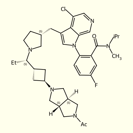 CC[C@@H]([C@H]1C[C@H](N2C[C@H]3CN(C(C)=O)C[C@@H]3C2)C1)N1CC[C@H](Cc2cn(-c3ccc(F)cc3C(=O)N(C)C(C)C)c3cncc(Cl)c23)C1